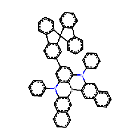 c1ccc(N2c3cc4ccccc4cc3B3c4cc5ccccc5cc4N(c4ccccc4)c4cc(-c5ccc6c(c5)C5(c7ccccc7-c7ccccc75)c5ccccc5-6)cc2c43)cc1